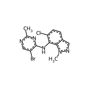 Cc1ncc(Br)c(Nc2c(Cl)ccc3cnn(C)c23)n1